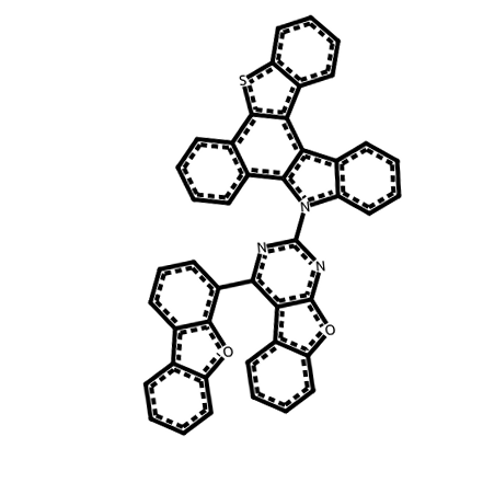 c1ccc2c(c1)oc1c(-c3nc(-n4c5ccccc5c5c6c7ccccc7sc6c6ccccc6c54)nc4oc5ccccc5c34)cccc12